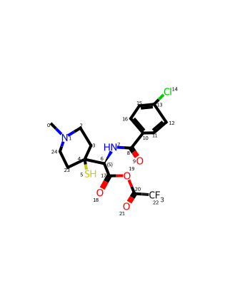 CN1CCC(S)([C@@H](NC(=O)c2ccc(Cl)cc2)C(=O)OC(=O)C(F)(F)F)CC1